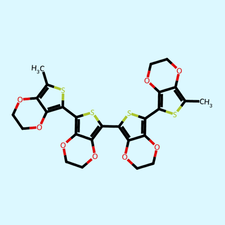 Cc1sc(-c2sc(-c3sc(-c4sc(C)c5c4OCCO5)c4c3OCCO4)c3c2OCCO3)c2c1OCCO2